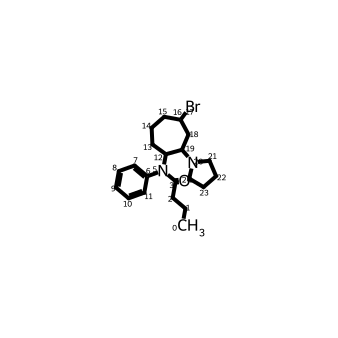 CCCC(=O)N(c1ccccc1)C1CCCC(Br)CC1N1CCCC1